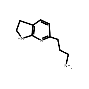 NCCCc1ccc2c(n1)NCC2